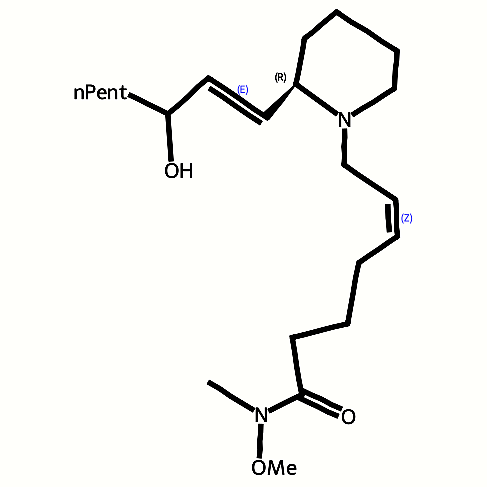 CCCCCC(O)/C=C/[C@H]1CCCCN1C/C=C\CCCC(=O)N(C)OC